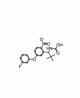 CC(C)(C)C(NC(=O)O)c1cc(Oc2cccc(F)c2)ccc1[N+](=O)[O-]